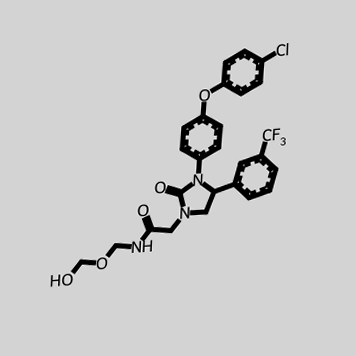 O=C(CN1CC(c2cccc(C(F)(F)F)c2)N(c2ccc(Oc3ccc(Cl)cc3)cc2)C1=O)NCOCO